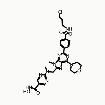 CN(Cc1nc2c(N3CCOCC3)nc(-c3ccc(S(=O)(=O)NCCCCl)cc3)nc2n1C)c1ncc(C(=O)NO)cn1